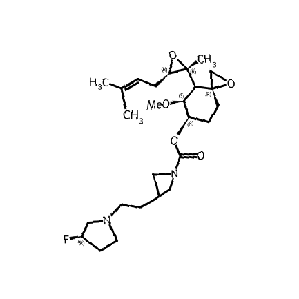 CO[C@H]1C([C@@]2(C)O[C@@H]2CC=C(C)C)[C@]2(CC[C@H]1OC(=O)N1CC(CCN3CC[C@@H](F)C3)C1)CO2